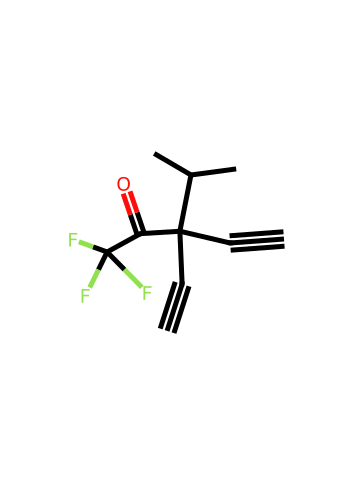 C#CC(C#C)(C(=O)C(F)(F)F)C(C)C